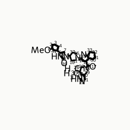 COc1cccc(-c2cn(C3CCN(c4cc(C(=O)N5Cc6cn[nH]c6C(C)(C)C5)c5ccccc5n4)CC3)c(=O)[nH]2)c1